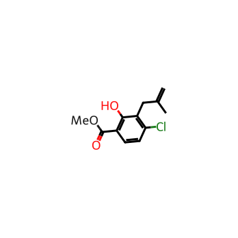 C=C(C)Cc1c(Cl)ccc(C(=O)OC)c1O